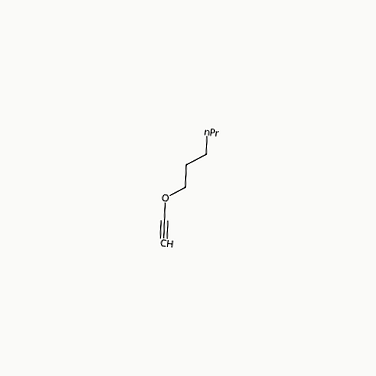 C#COCCCCCC